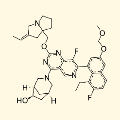 C/C=C1\CN2CCCC2(COc2nc(N3C[C@@H]4C[C@H](C3)[C@H](O)C4)c3cnc(-c4cc(OCOC)cc5ccc(F)c(CC)c45)c(F)c3n2)C1